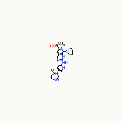 C[C@@H](O)c1cc2cnc(Nc3ccc(N4CCNCCC4=O)cn3)nc2c(N2CCCCC2)n1